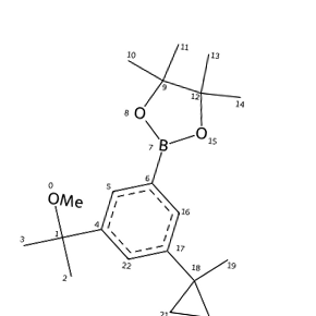 COC(C)(C)c1cc(B2OC(C)(C)C(C)(C)O2)cc(C2(C)CC2)c1